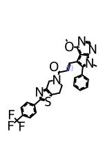 COc1ncnc2c1c(/C=C/C(=O)N1CCc3sc(-c4ccc(C(F)(F)F)cc4)nc3C1)c(-c1ccccc1)n2C